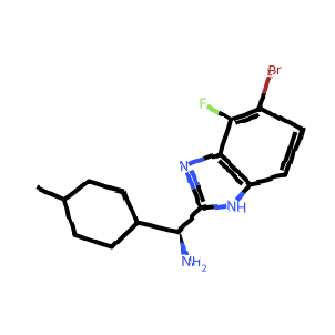 CC1CCC([C@H](N)c2nc3c(F)c(Br)ccc3[nH]2)CC1